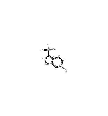 CS(=O)(=O)c1n[nH]c2c[n+]([O-])ccc12